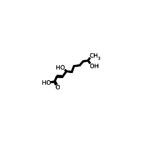 CC(O)CCCCC(O)C=CC(=O)O